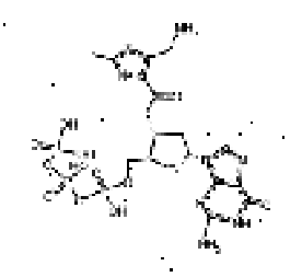 Cc1nc(C(=O)C[C@@H]2C[C@H](n3cnc4c(=O)[nH]c(N)nc43)OC2COP(=O)(O)OP(=O)(O)OP(=O)(O)O)c(CN)s1